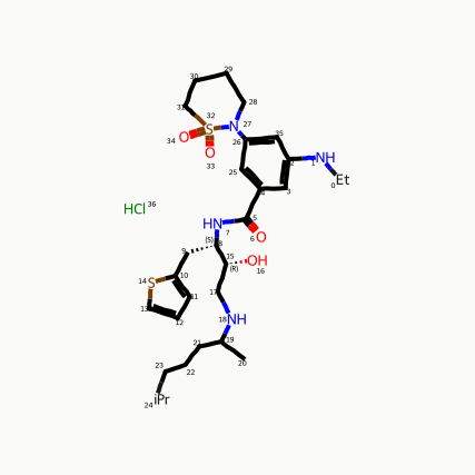 CCNc1cc(C(=O)N[C@@H](Cc2cccs2)[C@H](O)CNC(C)CCCC(C)C)cc(N2CCCCS2(=O)=O)c1.Cl